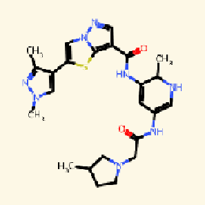 Cc1nn(C)cc1-c1cn2ncc(C(=O)NC3=CC(NC(=O)CN4CCC(C)C4)=CNC3C)c2s1